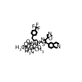 CC(C)(C)OC(=O)NC(Cc1ccc(C(F)(F)F)cc1)CN(C(=O)OC(C)(C)C)c1nc(-c2cnco2)c(-c2ccc3cnccc3c2)s1